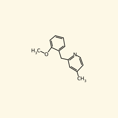 COc1ccccc1Cc1cc(C)ccn1